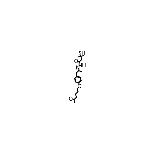 CC(=O)CCCCOc1ccc(C/C(C)=N/NC(=O)CC(C)(C)S)cc1